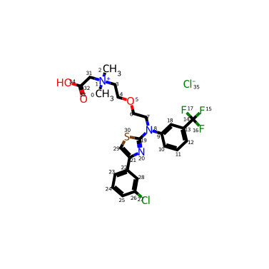 C[N+](C)(CCOCCN(c1cccc(C(F)(F)F)c1)c1nc(-c2cccc(Cl)c2)cs1)CC(=O)O.[Cl-]